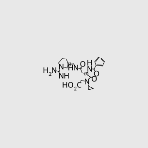 N=C(N)N1CCC[C@@H](CNC(=O)C[C@H](NC(=O)c2ccccc2)C(=O)N(CC(=O)O)C2CC2)C1